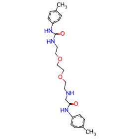 Cc1ccc(NC(=O)CNCCOCCOCCNC(=O)Nc2ccc(C)cc2)cc1